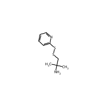 CC(C)(N)CSSc1ccccn1